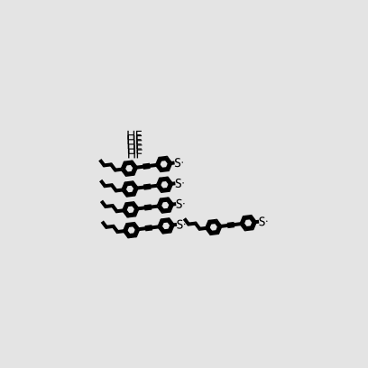 CCCCc1ccc(C#Cc2ccc([S])cc2)cc1.CCCCc1ccc(C#Cc2ccc([S])cc2)cc1.CCCCc1ccc(C#Cc2ccc([S])cc2)cc1.CCCCc1ccc(C#Cc2ccc([S])cc2)cc1.CCCCc1ccc(C#Cc2ccc([S])cc2)cc1.F.F.F.F.F